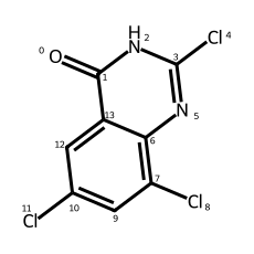 O=c1[nH]c(Cl)nc2c(Cl)cc(Cl)cc12